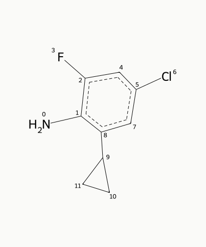 Nc1c(F)cc(Cl)cc1C1CC1